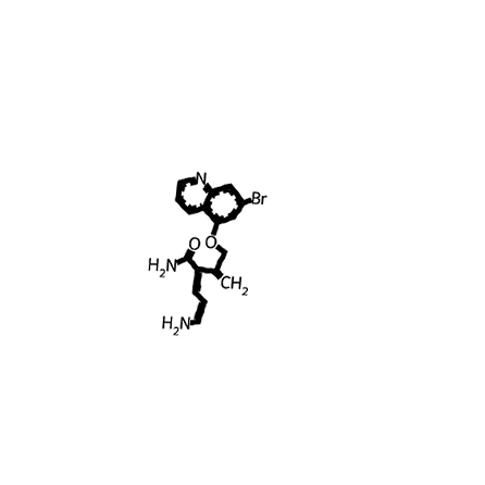 C=C(COc1cc(Br)cc2ncccc12)/C(=C\C=C/N)C(N)=O